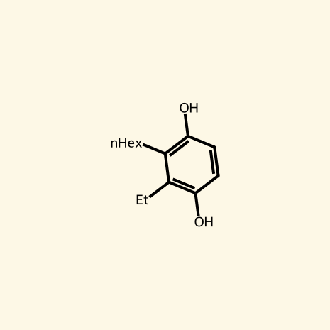 CCCCCCc1c(O)ccc(O)c1CC